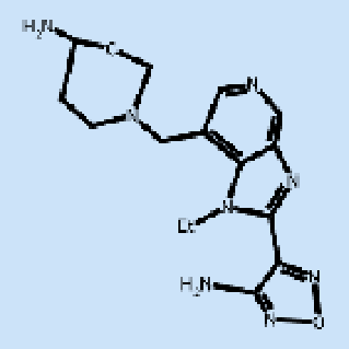 CCn1c(-c2nonc2N)nc2cncc(CN3CCC(N)CC3)c21